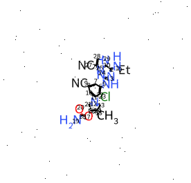 CCNc1nc(Nc2cc(C#N)cc(N3C[C@H](C)[C@H](OC(N)=O)C3)c2Cl)nn2c(C#N)cnc12